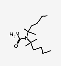 CCCCC(C)(C)N(C(N)=O)C(C)(C)CCCC